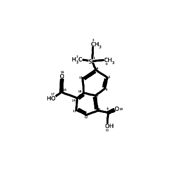 C[Si](C)(C)c1ccc2c(C(=O)O)ccc(C(=O)O)c2c1